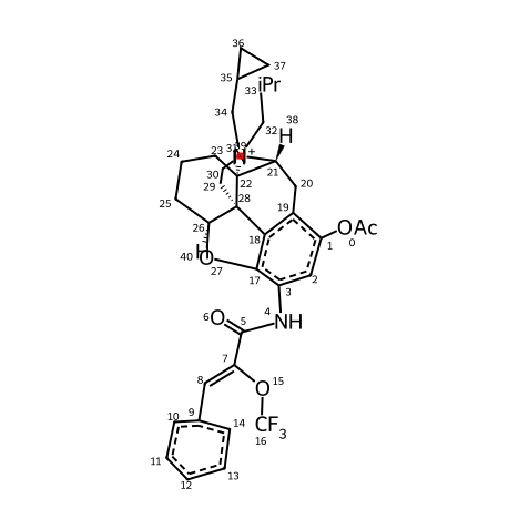 CC(=O)Oc1cc(NC(=O)C(=Cc2ccccc2)OC(F)(F)F)c2c3c1C[C@@H]1[C@@H]4CCC[C@H](O2)[C@]34CC[N+]1(CC(C)C)CC1CC1